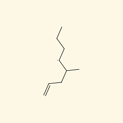 C=CCC(C)[CH]CCC